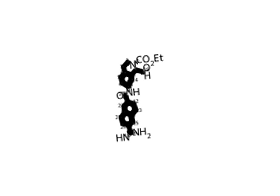 CCOC(=O)N1CCc2ccc(NC(=O)c3ccc4cc(C(=N)N)ccc4c3)cc2C1CO